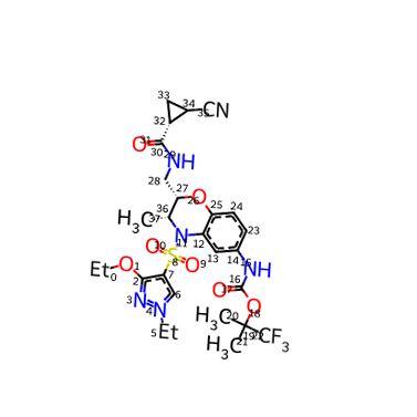 CCOc1nn(CC)cc1S(=O)(=O)N1c2cc(NC(=O)OC(C)(C)C(F)(F)F)ccc2O[C@@H](CNC(=O)[C@@H]2CC2C#N)[C@H]1C